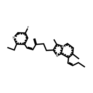 C=C(/C=C\c1cc(F)cnc1CC)CCc1nc2c(/C=C\CC)c(C)ccn2c1C